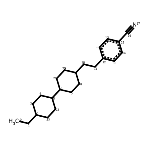 CCC1CCC(C2CCC(CCc3ccc(C#N)cc3)CC2)CC1